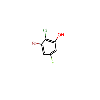 Oc1cc(F)cc(Br)c1Cl